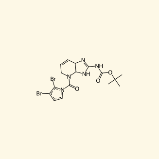 CC(C)(C)OC(=O)NC1=NC2C=CCN(C(=O)n3ccc(Br)c3Br)C2N1